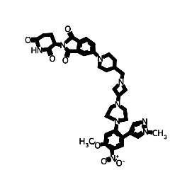 COc1cc(N2CCN(C3CN(CC4CCN(c5ccc6c(c5)C(=O)N(C5CCC(=O)NC5=O)C6=O)CC4)C3)CC2)c(-c2cnn(C)c2)cc1[N+](=O)[O-]